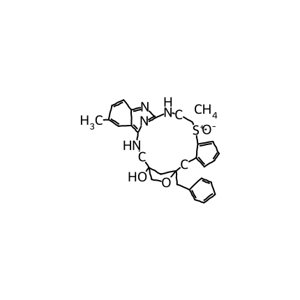 C.Cc1ccc2nc3nc(c2c1)NCC1(O)COC(Cc2ccccc2)(Cc2ccccc2[S+]([O-])CCN3)C1